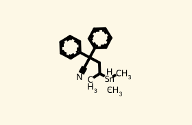 C[CH](CC(C#N)(c1ccccc1)c1ccccc1)[SnH]([CH3])[CH3]